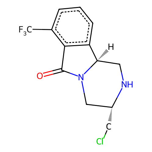 O=C1c2c(cccc2C(F)(F)F)[C@H]2CN[C@H](CCl)CN12